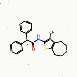 N#Cc1c(NC(=O)C(c2ccccc2)c2ccccc2)sc2c1CCCCC2